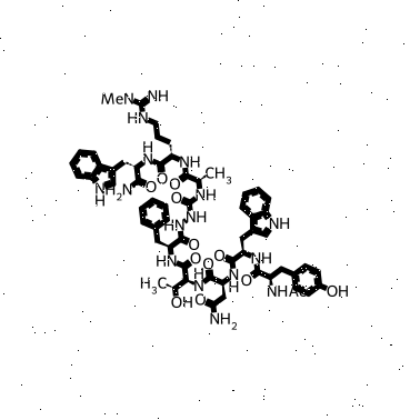 CNC(=N)NCCC[C@H](NC(=O)[C@H](C)NC(=O)NNC(=O)[C@H](Cc1ccccc1)NC(=O)[C@@H](NC(=O)[C@H](CC(N)=O)NC(=O)[C@@H](Cc1c[nH]c2ccccc12)NC(=O)[C@@H](Cc1ccc(O)cc1)NC(C)=O)[C@@H](C)O)C(=O)N[C@@H](Cc1c[nH]c2ccccc12)C(N)=O